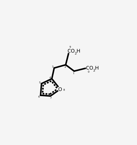 O=C(O)CC(Cc1ccco1)C(=O)O